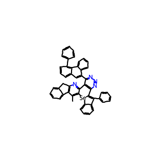 Cc1c(-c2c(-c3[se]c4ccccc4c3-c3ccccc3)nnnc2-c2cc3cccc(-c4ccccc4)c3c3ccccc23)nc2c(c1C)-c1ccccc1C2